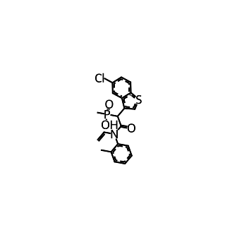 C=CN(C(=O)C(c1csc2ccc(Cl)cc12)P(C)(=O)O)c1ccccc1C